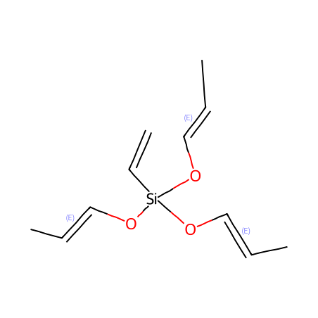 C=C[Si](O/C=C/C)(O/C=C/C)O/C=C/C